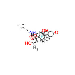 CCCCNC(=O)O[C@]1(C(=O)CO)[C@@H](C)C[C@H]2[C@@H]3CCC4=CC(=O)C=C[C@]4(C)[C@@]3(F)[C@@H](O)C[C@@]21C